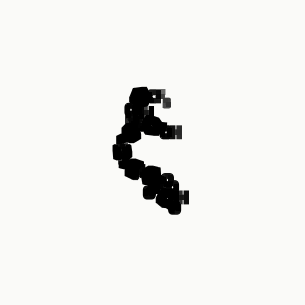 O=C1CCC(N2C(=O)c3ccc(N4CCC(CN5CCN(Cc6ccc7c(c6)nc(NC(=O)c6cccc(C(F)(F)F)c6)n7C6CCC(CO)CC6)CC5)CC4)cc3C2=O)C(=O)N1